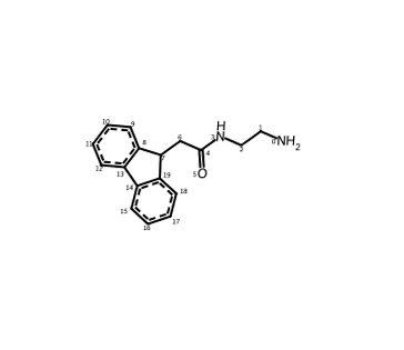 NCCNC(=O)CC1c2ccccc2-c2ccccc21